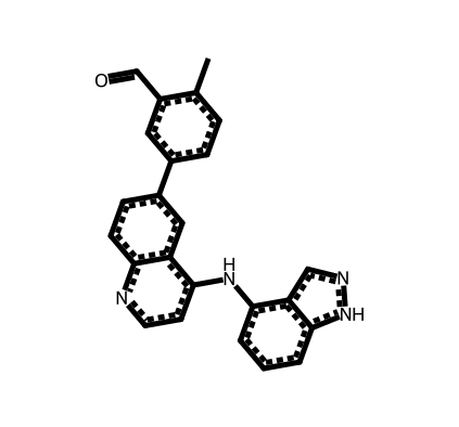 Cc1ccc(-c2ccc3nccc(Nc4cccc5[nH]ncc45)c3c2)cc1C=O